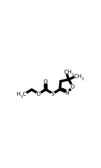 CCOC(=O)SC1=NOC(C)(C)C1